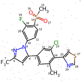 Cc1cc(-c2cc(C(F)(F)F)nn2-c2ccc(S(C)(=O)=O)c(F)c2)cc(Cl)c1-c1cscn1